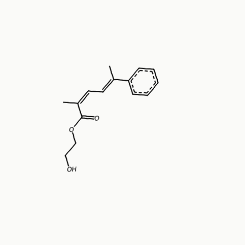 CC(=CC=C(C)c1ccccc1)C(=O)OCCO